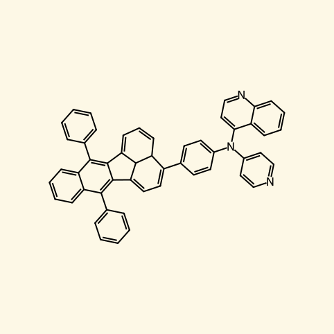 C1=CC2C(c3ccc(N(c4ccncc4)c4ccnc5ccccc45)cc3)=CC=C3c4c(c(-c5ccccc5)c5ccccc5c4-c4ccccc4)C(=C1)C32